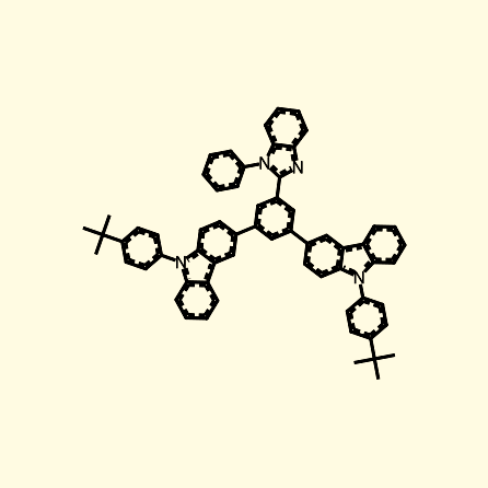 CC(C)(C)c1ccc(-n2c3ccccc3c3cc(-c4cc(-c5ccc6c(c5)c5ccccc5n6-c5ccc(C(C)(C)C)cc5)cc(-c5nc6ccccc6n5-c5ccccc5)c4)ccc32)cc1